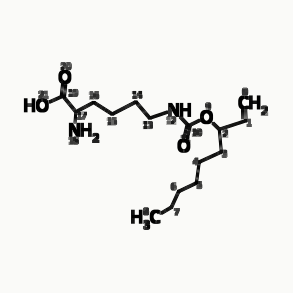 C=CC(CCCCCC)OC(=O)NCCCCC(N)C(=O)O